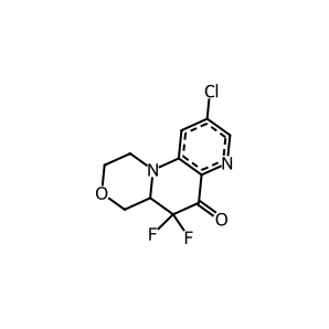 O=C1c2ncc(Cl)cc2N2CCOCC2C1(F)F